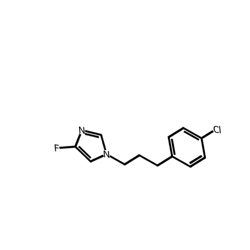 Fc1cn(CCCc2ccc(Cl)cc2)cn1